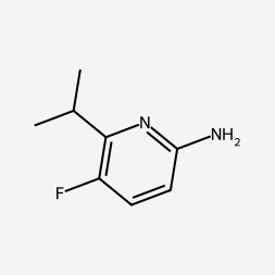 CC(C)c1nc(N)ccc1F